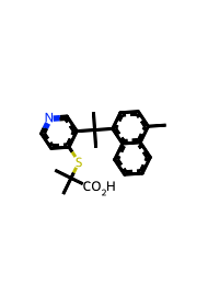 Cc1ccc(C(C)(C)c2cnccc2SC(C)(C)C(=O)O)c2ccccc12